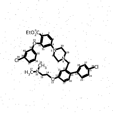 CCOC(=O)c1ccc(N2CCN(Cc3cc(OCCN(C)C)ccc3-c3ccc(Cl)cc3)CC2)cc1Oc1cccc(Cl)c1